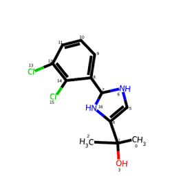 CC(C)(O)C1=CNC(c2cccc(Cl)c2Cl)N1